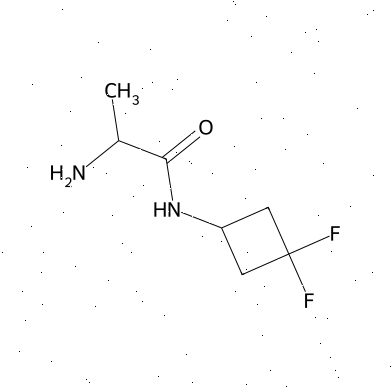 CC(N)C(=O)NC1CC(F)(F)C1